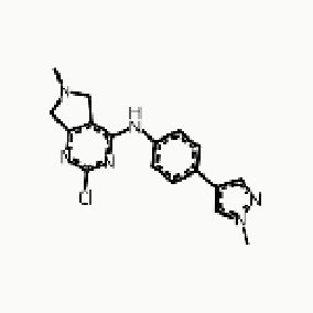 CN1Cc2nc(Cl)nc(Nc3ccc(-c4cnn(C)c4)cc3)c2C1